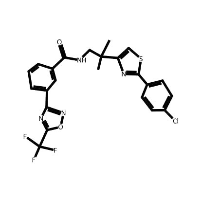 CC(C)(CNC(=O)c1cccc(-c2noc(C(F)(F)F)n2)c1)c1csc(-c2ccc(Cl)cc2)n1